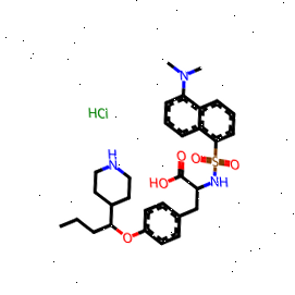 CCCC(Oc1ccc(CC(NS(=O)(=O)c2cccc3c(N(C)C)cccc23)C(=O)O)cc1)C1CCNCC1.Cl